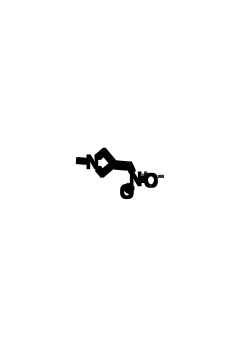 CN1CC(=C[N+](=O)[O-])C1